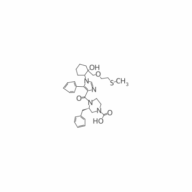 CSCCOCC1(O)CCCCC1n1cnc(C(=O)N2CCN(C(=O)O)C[C@H]2Cc2ccccc2)c1-c1ccccc1